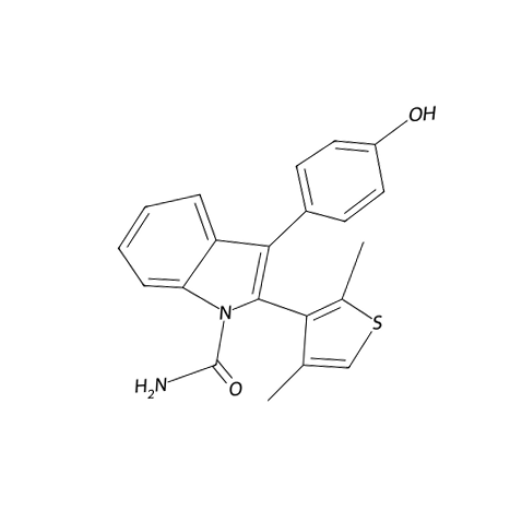 Cc1csc(C)c1-c1c(-c2ccc(O)cc2)c2ccccc2n1C(N)=O